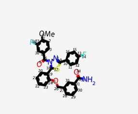 COc1ccc(C(=O)N2N=C(c3ccc(F)cc3)SC2c2ccccc2OCc2cccc(C(N)=O)c2)cc1F